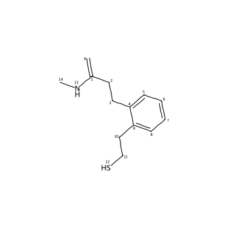 C=C(CCc1ccccc1CCS)NC